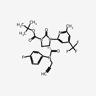 C#CCN(C(=O)[C@@H]1CN(C(=O)OC(C)(C)C)C(=O)N1c1cc(C(F)(F)F)cc(C)n1)c1ccc(F)cc1